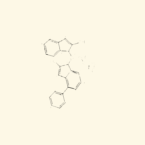 CC.C[SiH2][Zr+2]([CH]1C(C)=Cc2ccccc21)[CH]1C(C)=Cc2c(-c3ccccc3)cccc21.[Cl-].[Cl-]